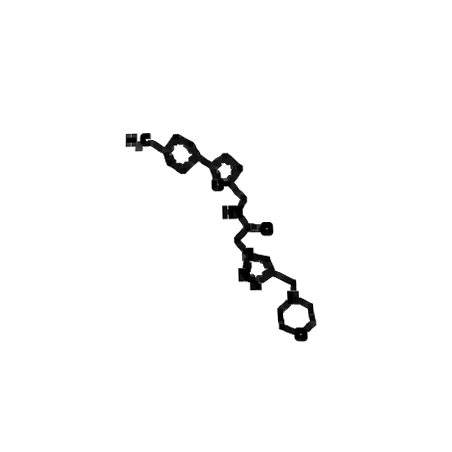 Cc1ccc(-c2ccc(CNC(=O)Cn3cc(CN4CCOCC4)nn3)o2)cc1